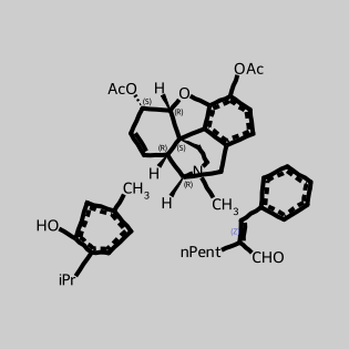 CC(=O)Oc1ccc2c3c1O[C@H]1[C@@H](OC(C)=O)C=C[C@H]4[C@@H](C2)N(C)CC[C@@]341.CCCCC/C(C=O)=C/c1ccccc1.Cc1ccc(C(C)C)c(O)c1